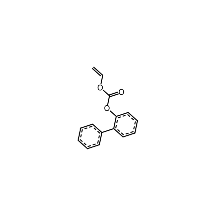 C=COC(=O)Oc1ccccc1-c1ccccc1